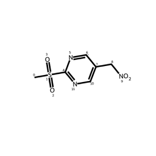 CS(=O)(=O)c1n[c]c(C[N+](=O)[O-])cn1